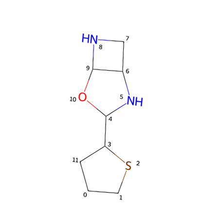 C1CSC(C2NC3CNC3O2)C1